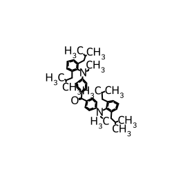 CCN(c1ccc(C(=O)c2ccc(N(CC)c3c(CC(C)C)cccc3CC(C)C)cc2)cc1)c1c(CC(C)C)cccc1CC(C)C